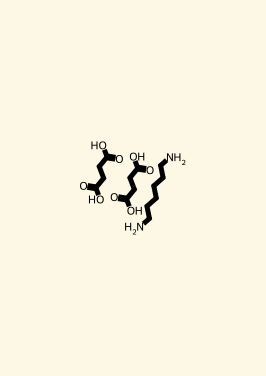 NCCCCCCN.O=C(O)CCC(=O)O.O=C(O)CCC(=O)O